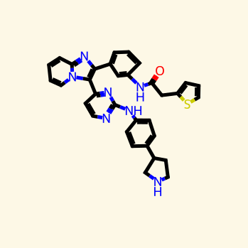 O=C(Cc1cccs1)Nc1cccc(-c2nc3ccccn3c2-c2ccnc(Nc3ccc(C4CCNC4)cc3)n2)c1